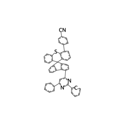 N#Cc1ccc(-c2cccc3c2Sc2ccccc2C32c3ccccc3-c3c(-c4cc(-c5ccccc5)nc(-c5ccccc5)n4)cccc32)cc1